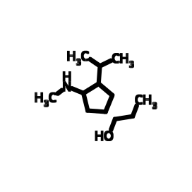 CCCO.CNC1CCCC1C(C)C